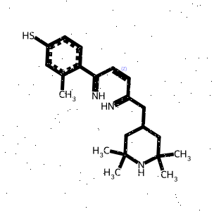 Cc1cc(S)ccc1C(=N)/C=C\C(=N)CC1CC(C)(C)NC(C)(C)C1